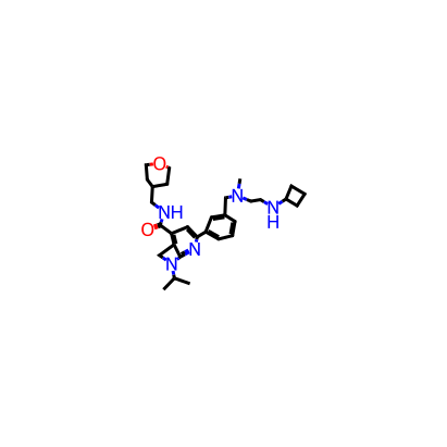 CC(C)N1Cc2c(C(=O)NCC3CCOCC3)cc(-c3cccc(CN(C)CCNC4CCC4)c3)nc21